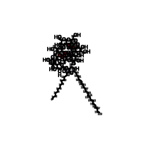 CCCCCCCCCCCCC/C=C/[C@@H](O)[C@H](CO[C@@H]1OC(CO)[C@@H](O[C@@H]2OC(CO)[C@H](O)[C@H](O[C@@H]3OC(CO)[C@@H](O[C@@H]4OC(CO)[C@H](O)[C@H](O[C@@H]5OC(CO)[C@@H](O[C@@H]6OC(CO)[C@H](O)[C@H](O[C@H]7OC(CO)[C@H](O)[C@H](O)C7NC(C)=O)C6O[C@H]6OC(C)[C@@H](O)C(O)[C@@H]6O)[C@H](O)C5NC(C)=O)C4O)[C@H](O)C3NC(C)=O)C2O)[C@H](O)C1O)NC(=O)CCCCCCCCCCCCCCCCCCCCC